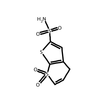 NS(=O)(=O)c1cc2c(s1)S(=O)(=O)C=CC2